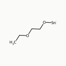 CCOCC[O][Sn]